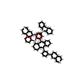 c1ccc(N(c2ccc(-n3c4ccccc4c4ccccc43)cc2)c2cccc3c(-c4cccc(-c5ccc6ccncc6c5)c4)c4ccccc4c(-c4cccc(-c5ccc6ccncc6c5)c4)c23)cc1